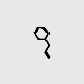 C=CCC1CN=CC=N1